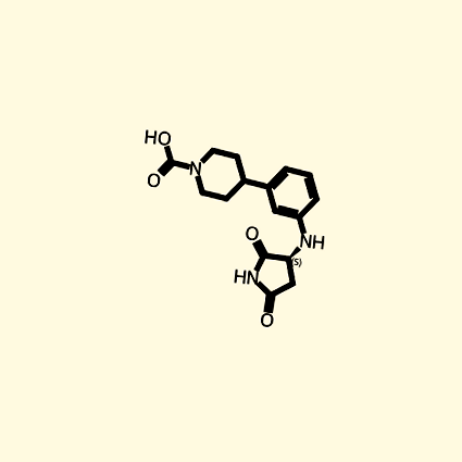 O=C1C[C@H](Nc2cccc(C3CCN(C(=O)O)CC3)c2)C(=O)N1